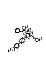 C[C@H](Cc1ccccc1)Nc1nc(N2CCN(c3ccc(O)cc3)CC2)nc2c1ncn2CCO